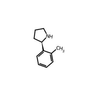 Cc1ccccc1[C@H]1CCCN1